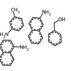 Cc1cccc(N)c1.Nc1ccc2ccccc2c1.Nc1cccc2ccccc12.OCc1ccccc1